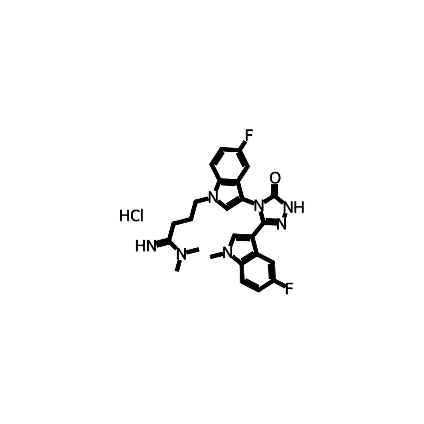 CN(C)C(=N)CCCn1cc(-n2c(-c3cn(C)c4ccc(F)cc34)n[nH]c2=O)c2cc(F)ccc21.Cl